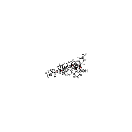 COc1ccc(CN(Cc2ccc(OC)cc2)S(=O)(=O)c2c(S(=O)(=O)NCCNC(=O)OC(C)(C)C)ccc(-c3cccc(C(=O)O)c3N)c2-c2nnn(Cc3ccc(OC)cc3)n2)cc1